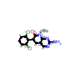 CCCCn1c(=O)c(-c2c(Cl)cccc2Cl)cc2cnc(N)nc21